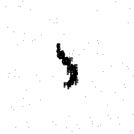 C=CCCc1ccc(-c2ccc(-c3cc(F)c(C(F)(F)Oc4ccc(OC=C(F)F)c(F)c4)c(F)c3)c(F)c2)cc1